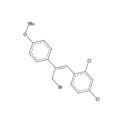 CC(C)(C)Oc1ccc(/C(=C/c2ccc(Cl)cc2Cl)CBr)cc1